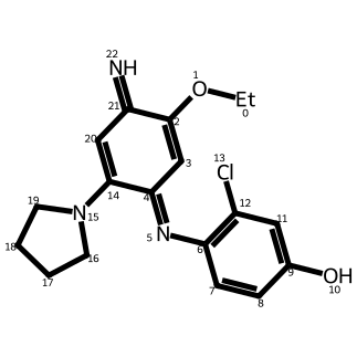 CCOC1=C/C(=N\c2ccc(O)cc2Cl)C(N2CCCC2)=CC1=N